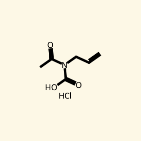 C=CCN(C(C)=O)C(=O)O.Cl